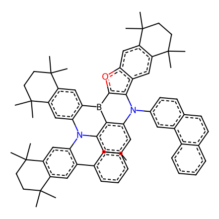 Cc1cc2c3c(c1)N(c1ccc4ccc5ccccc5c4c1)c1c(oc4cc5c(cc14)C(C)(C)CCC5(C)C)B3c1cc3c(cc1N2c1cc2c(cc1-c1ccccc1)C(C)(C)CCC2(C)C)C(C)(C)CCC3(C)C